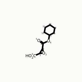 O=C(O)C1OC1C(=O)OC1CCCCC1